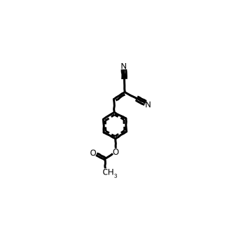 CC(=O)Oc1ccc(C=C(C#N)C#N)cc1